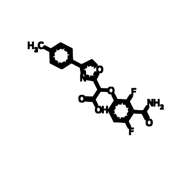 Cc1ccc(-c2coc(C(Oc3ccc(F)c(C(N)=O)c3F)C(=O)O)n2)cc1